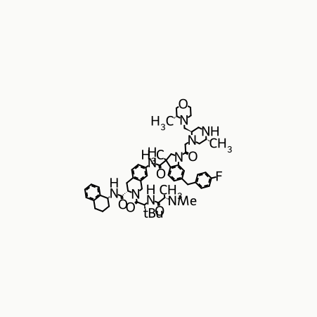 CN[C@@H](C)C(=O)N[C@H](C(=O)N1Cc2cc(NC(=O)C3(C)CN(C(=O)CN4C[C@@H](C)NC[C@@H]4CN4CCOC[C@H]4C)c4cc(Cc5ccc(F)cc5)ccc43)ccc2C[C@H]1C(=O)N[C@@H]1CCCc2ccccc21)C(C)(C)C